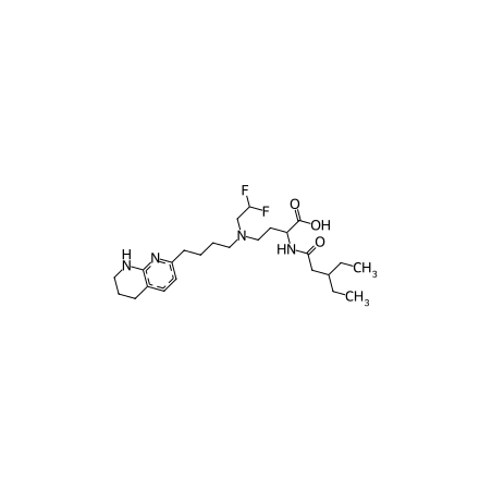 CCC(CC)CC(=O)NC(CCN(CCCCc1ccc2c(n1)NCCC2)CC(F)F)C(=O)O